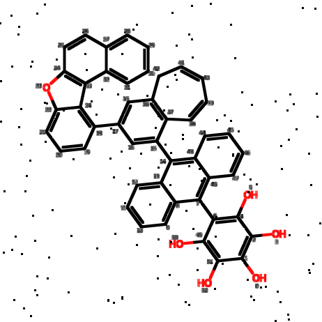 Oc1c(O)c(O)c(-c2c3ccccc3c(-c3cc(-c4cccc5oc6ccc7ccccc7c6c45)cc4c3C=CC=CC4)c3ccccc23)c(O)c1O